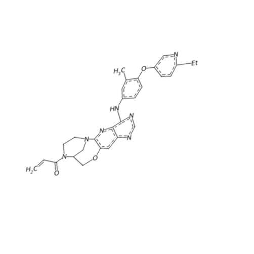 C=CC(=O)N1CCN2CC1COc1cc3ncnc(Nc4ccc(Oc5ccc(CC)nc5)c(C)c4)c3nc12